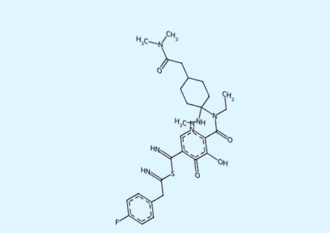 CCN(C(=O)c1[nH]cc(C(=N)SC(=N)Cc2ccc(F)cc2)c(=O)c1O)C1(NC)CCC(CC(=O)N(C)C)CC1